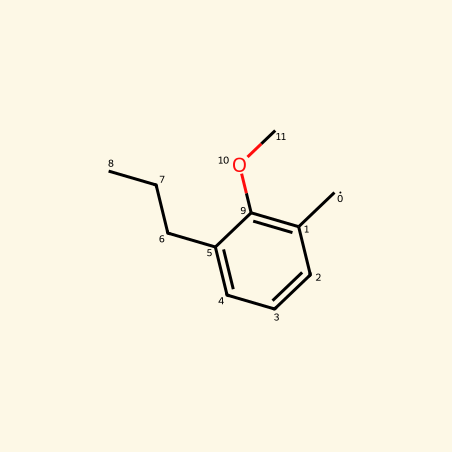 [CH2]c1cccc(CCC)c1OC